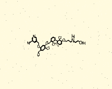 Cc1c(COc2cc(OCc3cncc(C#N)c3)c(C=O)cc2Cl)cccc1-c1cccc(OCCCNCCO)c1Cl